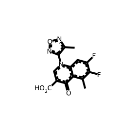 Cc1nonc1-n1cc(C(=O)O)c(=O)c2c(C)c(F)c(F)cc21